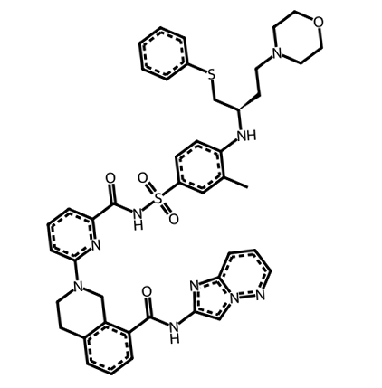 Cc1cc(S(=O)(=O)NC(=O)c2cccc(N3CCc4cccc(C(=O)Nc5cn6ncccc6n5)c4C3)n2)ccc1N[C@H](CCN1CCOCC1)CSc1ccccc1